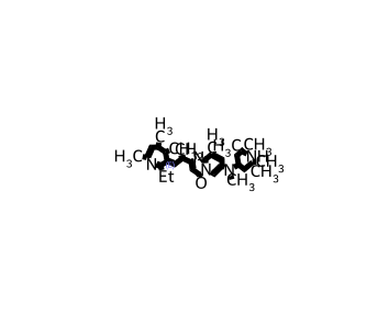 C=C(/C=C1/C(CC)=NC(C)=CC(C)C1C)c1cc(=O)n2cc(N(C)C3CC(C)(C)NC(C)(C)C3)cc(C)c2n1